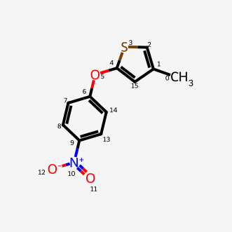 Cc1csc(Oc2ccc([N+](=O)[O-])cc2)c1